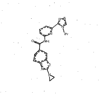 CC(C)n1cnnc1-c1cccc(NC(=O)c2ccc3nc(N4CC4)sc3c2)n1